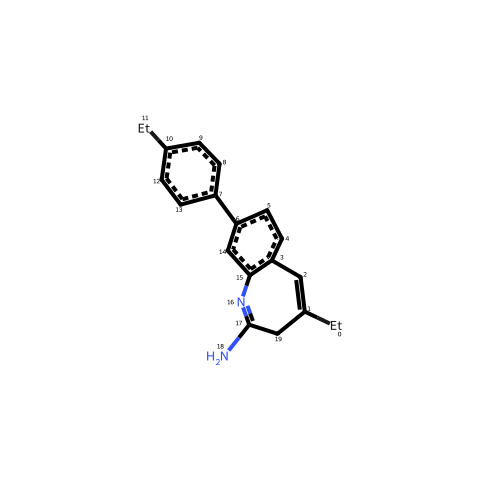 CCC1=Cc2ccc(-c3ccc(CC)cc3)cc2N=C(N)C1